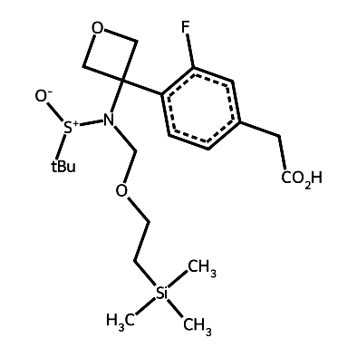 CC(C)(C)[S+]([O-])N(COCC[Si](C)(C)C)C1(c2ccc(CC(=O)O)cc2F)COC1